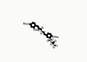 CCNC(=O)NS(=O)(=O)c1cc(CCNC(=O)C=Cc2ccc(OC)cc2OC)ccc1OC